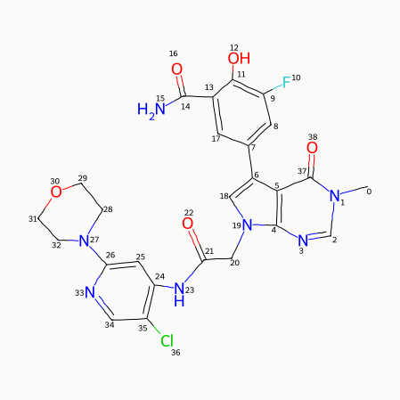 Cn1cnc2c(c(-c3cc(F)c(O)c(C(N)=O)c3)cn2CC(=O)Nc2cc(N3CCOCC3)ncc2Cl)c1=O